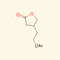 CC(=O)OCCC1COC(=O)C1